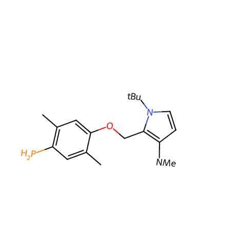 CNc1ccn(C(C)(C)C)c1COc1cc(C)c(P)cc1C